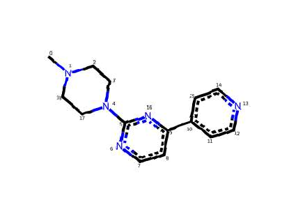 CN1CCN(c2nccc(-c3ccncc3)n2)CC1